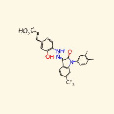 Cc1ccc(N2C(=O)C(=NNc3ccc(C=CC(=O)O)cc3O)c3ccc(C(F)(F)F)cc32)cc1C